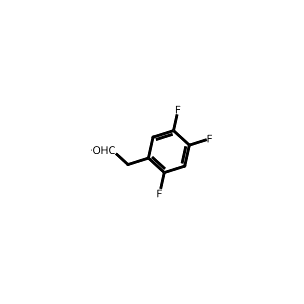 O=[C]Cc1cc(F)c(F)cc1F